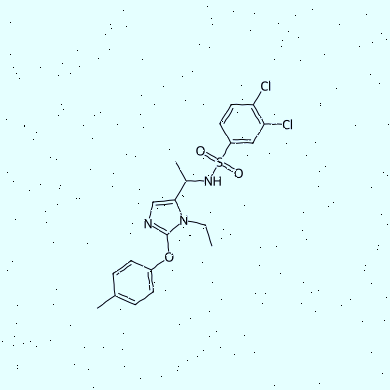 CCn1c(C(C)NS(=O)(=O)c2ccc(Cl)c(Cl)c2)cnc1Oc1ccc(C)cc1